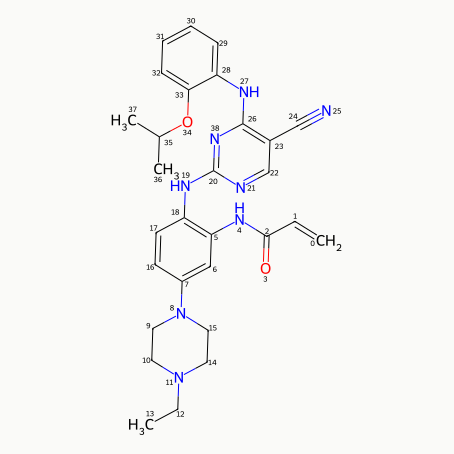 C=CC(=O)Nc1cc(N2CCN(CC)CC2)ccc1Nc1ncc(C#N)c(Nc2ccccc2OC(C)C)n1